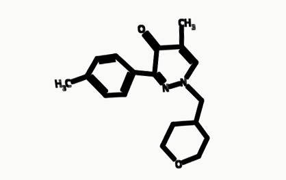 Cc1ccc(-c2nn(CC3CCOCC3)cc(C)c2=O)cc1